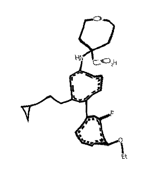 CCOc1cccc(-c2ccc(NC3(C(=O)O)CCOCC3)cc2CCC2CC2)c1F